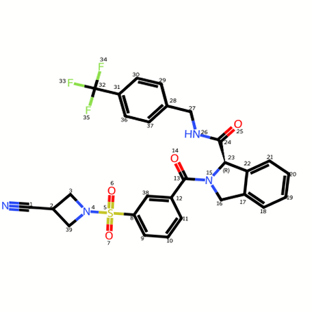 N#CC1CN(S(=O)(=O)c2cccc(C(=O)N3Cc4ccccc4[C@@H]3C(=O)NCc3ccc(C(F)(F)F)cc3)c2)C1